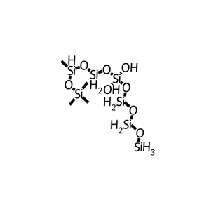 C[SiH](O[SiH2]O[Si](O)(O)O[SiH2]O[SiH2]O[SiH3])O[Si](C)(C)C